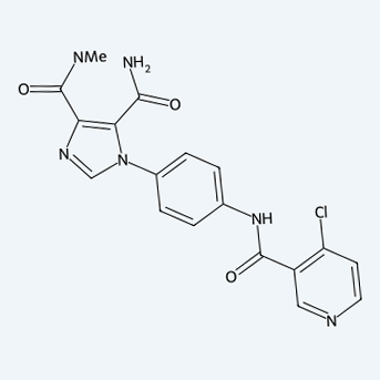 CNC(=O)c1ncn(-c2ccc(NC(=O)c3cnccc3Cl)cc2)c1C(N)=O